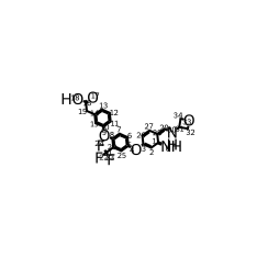 N=C1C=C(Oc2ccc(Oc3cccc(CC(=O)O)c3)c(C(F)(F)F)c2)C=C/C1=C/NC1COC1